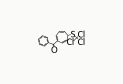 O=C(C1=CC=CC(SC(Cl)(Cl)Cl)C=C1)c1ccccc1